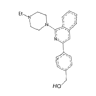 CCN1CCN(c2nc(-c3ccc(CO)cc3)cc3ccccc23)CC1